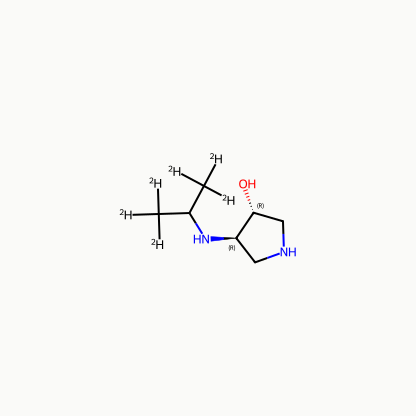 [2H]C([2H])([2H])C(N[C@@H]1CNC[C@H]1O)C([2H])([2H])[2H]